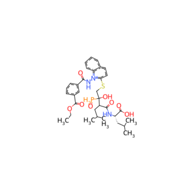 CCOC(=O)c1cccc(C(=O)N[n+]2c(SCC(O)([PH2]=O)C(CC(C)C)C(=O)N[C@@H](CC(C)C)C(=O)O)ccc3ccccc32)c1